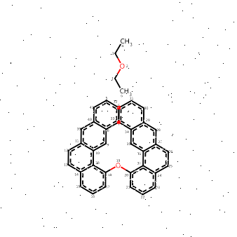 CCOCC.c1ccc2cc3c(ccc4cccc(Oc5cccc6ccc7cc8ccccc8cc7c56)c43)cc2c1